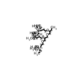 CCC(COCC(COCCC[Si](OC)(OC)OC)OCCC[Si](OC)(OC)OC)OCCC[Si](OC)(OC)OC